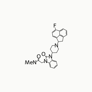 CNC(=O)Cn1c(=O)n(C2CCN(C3Cc4cccc5c(F)ccc3c45)CC2)c2ccccc21